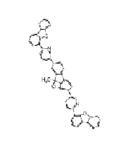 CC1(C)c2cc(-c3ccc(-c4cccc5c4oc4ccccc45)nc3)ccc2-c2ccc(-c3cnc(-c4cccc5c4sc4ccccc45)nc3)cc21